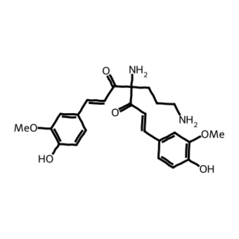 COc1cc(C=CC(=O)C(N)(CCCN)C(=O)C=Cc2ccc(O)c(OC)c2)ccc1O